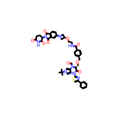 CC(C)(C)n1ccc(N(C=O)[C@@H](COCc2ccc(C(=O)NCCOC3CN(c4ccc5c(c4)C(=O)N(C4CCC(=O)NC4=O)C5=O)C3)cc2)C(=O)Nc2nc(-c3ccccc3)cs2)c1